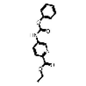 CCOC(=O)c1ccc(NC(=O)Oc2ccccc2)cn1